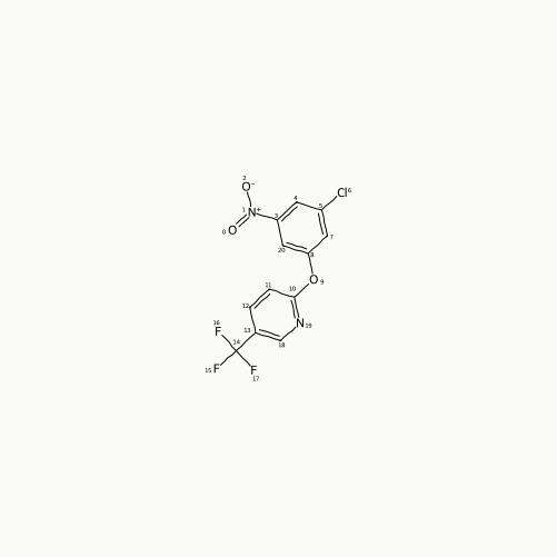 O=[N+]([O-])c1cc(Cl)cc(Oc2ccc(C(F)(F)F)cn2)c1